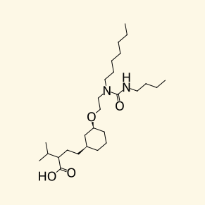 CCCCCCCN(CCO[C@H]1CCC[C@@H](CCC(C(=O)O)C(C)C)C1)C(=O)NCCCC